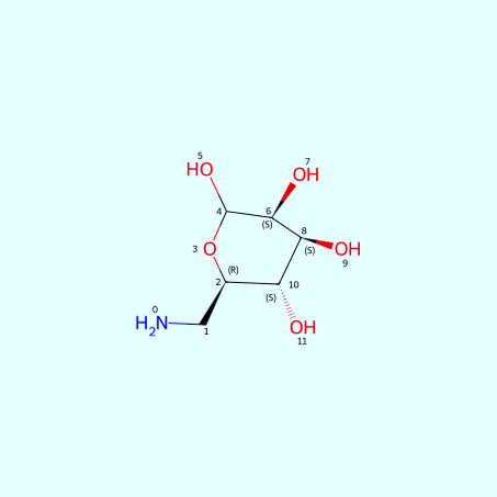 NC[C@H]1OC(O)[C@@H](O)[C@@H](O)[C@@H]1O